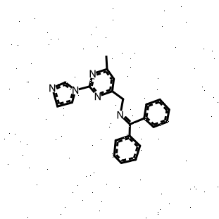 Cc1cc(CN=C(c2ccccc2)c2ccccc2)nc(-n2ccnc2)n1